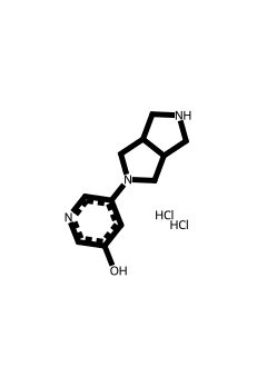 Cl.Cl.Oc1cncc(N2CC3CNCC3C2)c1